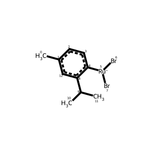 Cc1cc[c]([Ru-]([Br])[Br])c(C(C)C)c1